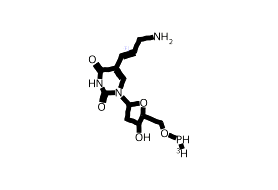 [3H]POCC1OC(n2cc(/C=C/CN)c(=O)[nH]c2=O)CC1O